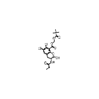 CCC(=O)N[C@H]1Cc2cc(Cl)c(Cl)c(C(=O)OCOC(=O)C(C)(C)C)c2OB1O